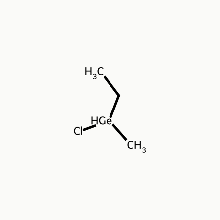 C[CH2][GeH]([CH3])[Cl]